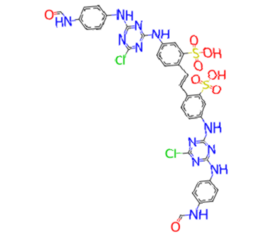 O=CNc1ccc(Nc2nc(Cl)nc(Nc3ccc(C=Cc4ccc(Nc5nc(Cl)nc(Nc6ccc(NC=O)cc6)n5)cc4S(=O)(=O)O)c(S(=O)(=O)O)c3)n2)cc1